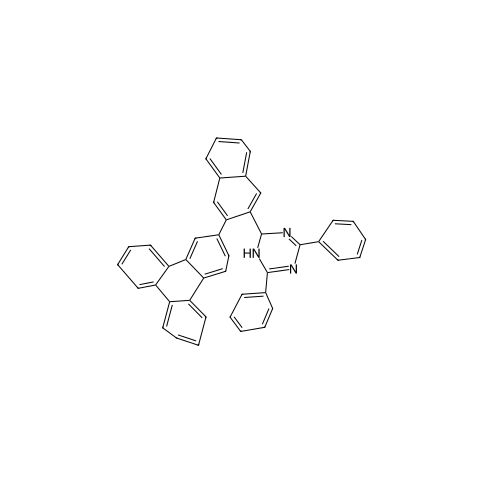 c1ccc(C2=NC(c3cc4ccccc4cc3-c3ccc4c5ccccc5c5ccccc5c4c3)NC(c3ccccc3)=N2)cc1